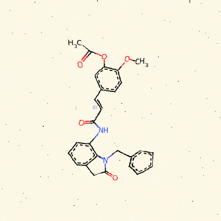 COc1ccc(/C=C/C(=O)Nc2cccc3c2N(Cc2ccccc2)C(=O)C3)cc1OC(C)=O